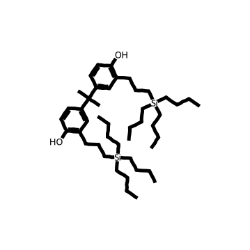 CCCC[Si](CCCC)(CCCC)CCCc1cc(C(C)(C)c2ccc(O)c(CCC[Si](CCCC)(CCCC)CCCC)c2)ccc1O